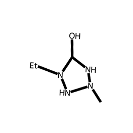 CCN1NN(C)NC1O